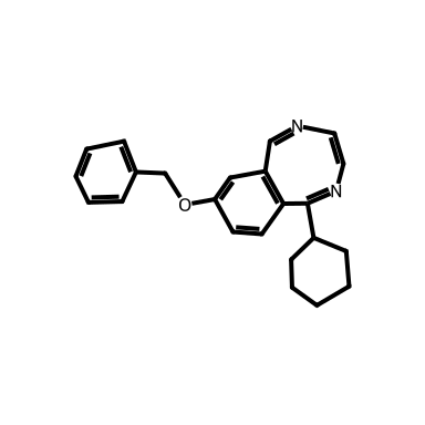 C1=CN=C(C2CCCCC2)c2ccc(OCc3ccccc3)cc2C=N1